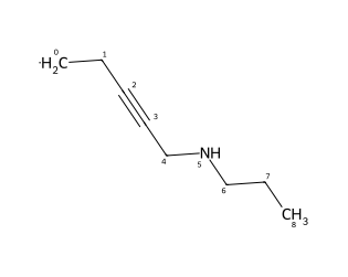 [CH2]CC#CCNCCC